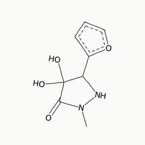 CN1NC(c2ccco2)C(O)(O)C1=O